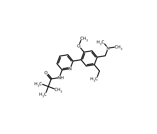 CCc1cc(-c2cccc(NC(=O)C(C)(C)C)n2)c(OC)cc1CN(C)C